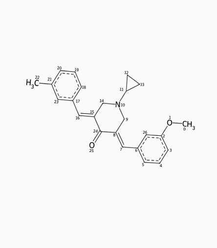 COc1cccc(/C=C2\CN(C3CC3)C/C(=C\c3cccc(C)c3)C2=O)c1